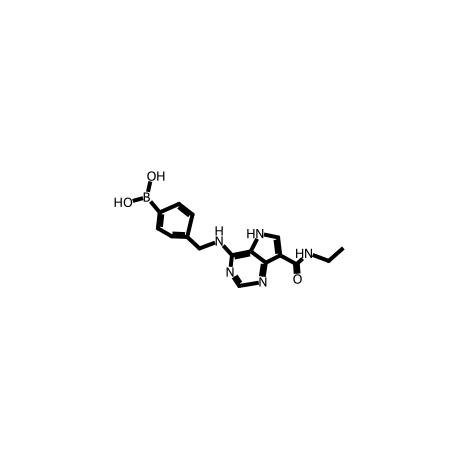 CCNC(=O)c1c[nH]c2c(NCc3ccc(B(O)O)cc3)ncnc12